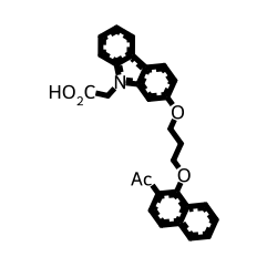 CC(=O)c1ccc2ccccc2c1OCCCOc1ccc2c3ccccc3n(CC(=O)O)c2c1